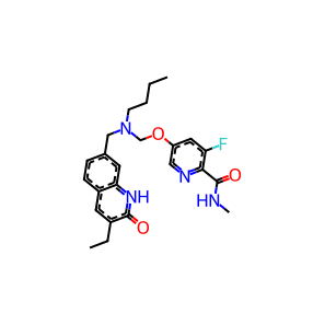 CCCCN(COc1cnc(C(=O)NC)c(F)c1)Cc1ccc2cc(CC)c(=O)[nH]c2c1